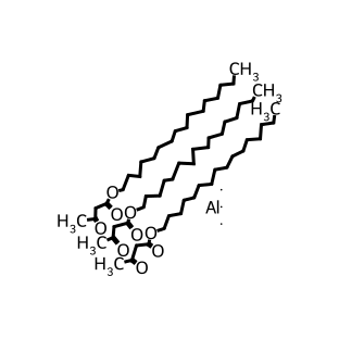 CCCCCCCCCCCCCCCCOC(=O)CC(C)=O.CCCCCCCCCCCCCCCCOC(=O)CC(C)=O.CCCCCCCCCCCCCCCCOC(=O)CC(C)=O.[Al]